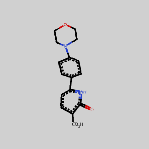 O=C(O)c1ccc(-c2ccc(N3CCOCC3)cc2)[nH]c1=O